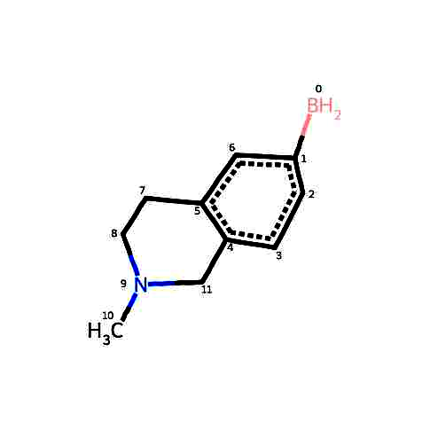 Bc1ccc2c(c1)CCN(C)C2